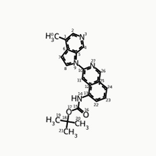 Cc1cncc2c1ccn2-c1cc2c(NC(=O)OC(C)(C)C)cccc2cn1